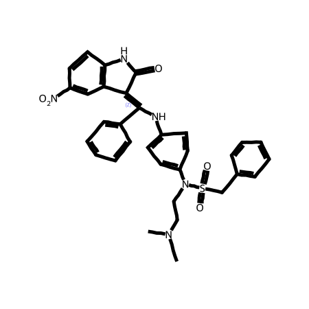 CN(C)CCN(c1ccc(N/C(=C2\C(=O)Nc3ccc([N+](=O)[O-])cc32)c2ccccc2)cc1)S(=O)(=O)Cc1ccccc1